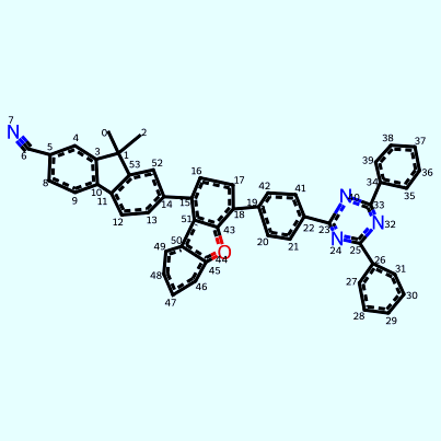 CC1(C)c2cc(C#N)ccc2-c2ccc(-c3ccc(-c4ccc(-c5nc(-c6ccccc6)nc(-c6ccccc6)n5)cc4)c4oc5ccccc5c34)cc21